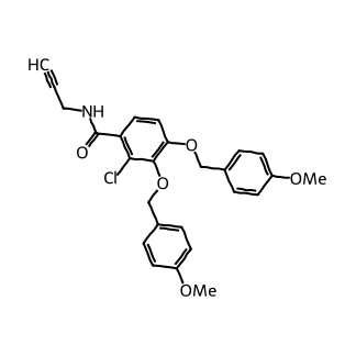 C#CCNC(=O)c1ccc(OCc2ccc(OC)cc2)c(OCc2ccc(OC)cc2)c1Cl